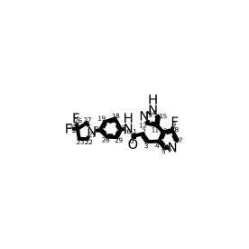 O=C(/C=C/c1cncc(F)c1-c1cn[nH]c1)Nc1ccc(N2CCC(F)(F)C2)cc1